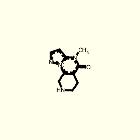 Cn1c(=O)c2c(n3nccc13)CNCC2